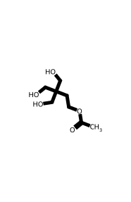 CC(=O)OCCC(CO)(CO)CO